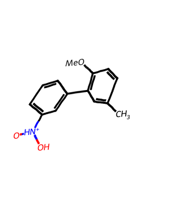 COc1ccc(C)cc1-c1cccc([NH+]([O-])O)c1